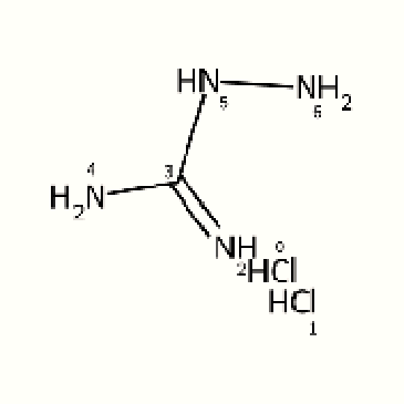 Cl.Cl.N=C(N)NN